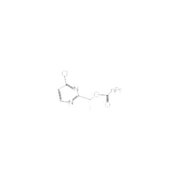 CCCC(=O)O[C@H](C)c1nccc(Cl)n1